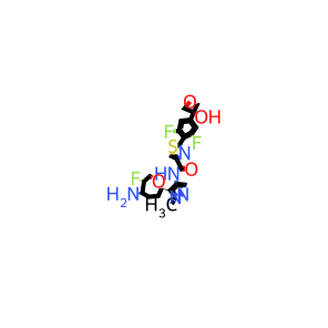 Cn1ncc(NC(=O)c2csc(-c3c(F)cc(C4(O)COC4)cc3F)n2)c1[C@@H]1CC[C@@H](N)[C@H](F)CO1